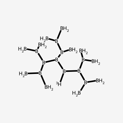 [3H]B(B(B(B)B)B(B)B)B(B(B)B(B)B)B(B(B)B)B(B)B